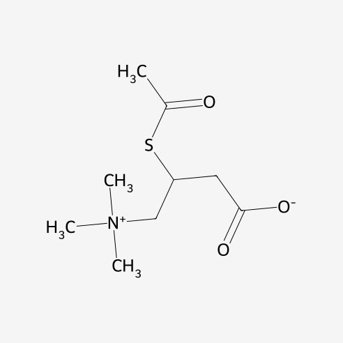 CC(=O)SC(CC(=O)[O-])C[N+](C)(C)C